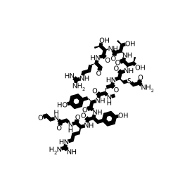 CN[C@@H](CC(=O)N[C@H](CSCC(N)=O)C(=O)N[C@H](C(=O)N[C@H](C(=O)N[C@H](C(=O)N[C@H](C=O)CCCNC(=N)N)[C@@H](C)O)[C@@H](C)O)[C@@H](C)O)C(=O)N[C@@H](Cc1ccc(O)cc1)C(=O)NC(Cc1ccc(O)cc1)C(=O)N[C@@H](CCCNC(=N)N)C(=O)NCC(=O)NCC=O